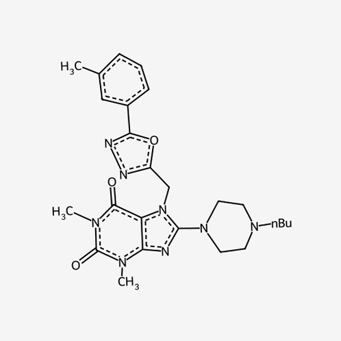 CCCCN1CCN(c2nc3c(c(=O)n(C)c(=O)n3C)n2Cc2nnc(-c3cccc(C)c3)o2)CC1